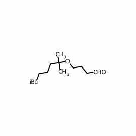 CCC(C)CCCC(C)(C)OCCCC=O